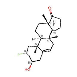 C[C@]12C[C@@H](F)[C@H](O)CC1=CC[C@@H]1[C@@H]2CC[C@]2(C)C(=O)CC[C@@H]12